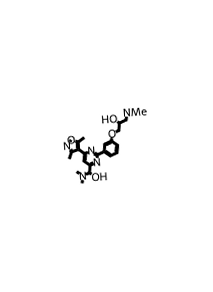 CNCC(O)COc1cccc(-c2nc(-c3c(C)noc3C)cc(C(O)N(C)C)n2)c1